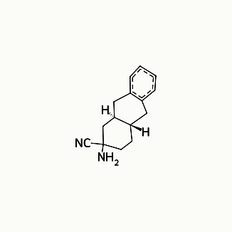 N#CC1(N)CC[C@H]2Cc3ccccc3C[C@@H]2C1